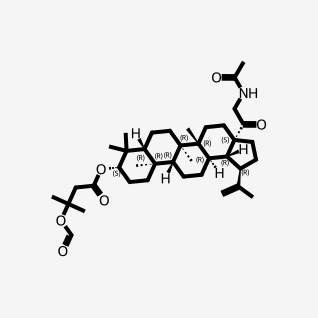 C=C(C)[C@@H]1CC[C@]2(C(=O)CNC(C)=O)CC[C@]3(C)[C@H](CC[C@@H]4[C@@]5(C)CC[C@H](OC(=O)CC(C)(C)OC=O)C(C)(C)[C@@H]5CC[C@]43C)[C@@H]12